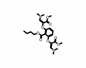 CCCCOC(=O)c1c(OC(=CN(C)C)C(=O)OC)cccc1OC(=CN(C)C)C(=O)OC